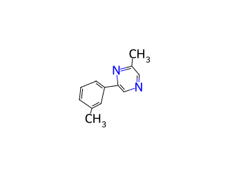 Cc1cccc(-c2cncc(C)n2)c1